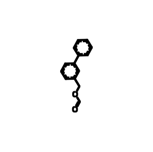 O=COCc1cccc(-c2ccccc2)c1